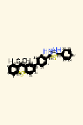 CC1(C)c2ccccc2Sc2ccc(-c3ccc(C4NNC(C5C=CC=CC5)S4)cc3)cc21